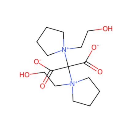 O=C([O-])C(C(=O)[O-])([N+]1(CCO)CCCC1)[N+]1(CCO)CCCC1